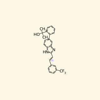 CC(C)(O)c1ccccc1-c1ccc2[nH]c(/C=C/c3cccc(C(F)(F)F)c3)nc2c1